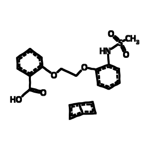 CS(=O)(=O)Nc1ccccc1OCCOc1ccccc1C(=O)O.c1cc2ccc1-2